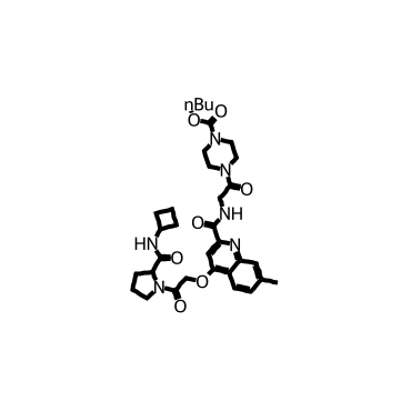 CCCCOC(=O)N1CCN(C(=O)CNC(=O)c2cc(OCC(=O)N3CCCC3C(=O)NC3CCC3)c3ccc(C)cc3n2)CC1